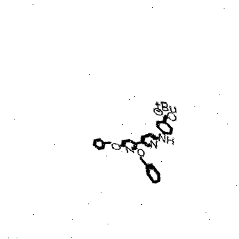 CC(C)(C)OC(=O)C1CCC(Nc2ccc(-c3ccc(OCc4ccccc4)nc3OCc3ccccc3)cn2)CC1